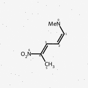 CN/C=C\C=C(/C)[N+](=O)[O-]